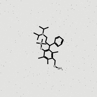 Cc1c(C)c(O[Si](C)(C)C)c(C(CCN(C(C)C)C(C)C)c2ccccc2)c(C)c1CO[SiH3]